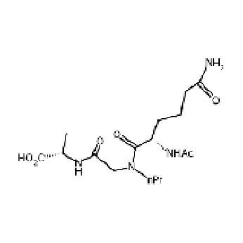 CCCN(CC(=O)N[C@@H](C)C(=O)O)C(=O)[C@H](CCCC(N)=O)NC(C)=O